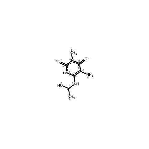 CC(O)Nc1[nH]c(=O)n(C)c(=O)c1N